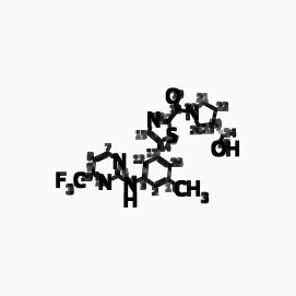 Cc1cc(Nc2nccc(C(F)(F)F)n2)cc(-c2cnc(C(=O)N3CC[C@H](CO)C3)s2)c1